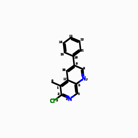 Cc1c(Cl)ncc2ncc(-c3ccccc3)cc12